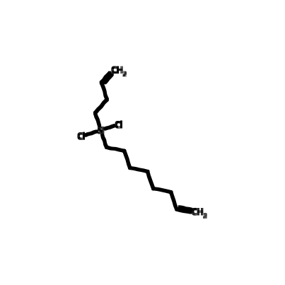 C=CCCCCCC[Si](Cl)(Cl)CCC=C